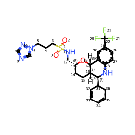 O=S(=O)(CCCn1cncn1)NC[C@H]1CC[C@@H]2[C@H](O1)c1cc(C(F)(F)F)ccc1N[C@H]2C1C=CC=CC1